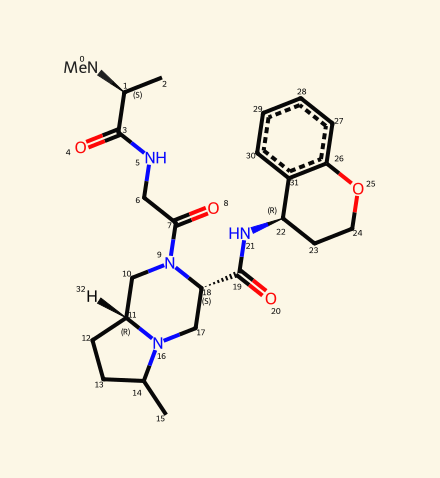 CN[C@@H](C)C(=O)NCC(=O)N1C[C@H]2CCC(C)N2C[C@H]1C(=O)N[C@@H]1CCOc2ccccc21